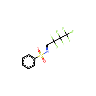 O=S(=O)(N=CC(F)(F)C(F)(F)C(F)(F)F)c1ccccc1